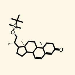 C[C@H](CO[Si](C)(C)C(C)(C)C)C1CCC2C3C=CC4=CC(=O)CC[C@]4(C)C3CC[C@@]21C